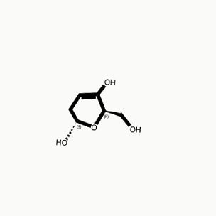 OC[C@H]1O[C@H](O)CC=C1O